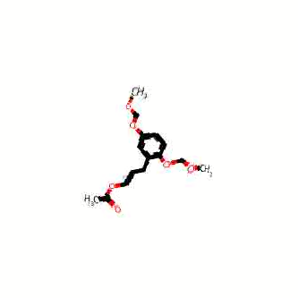 COCOc1ccc(OCOC)c(C/C=C/OC(C)=O)c1